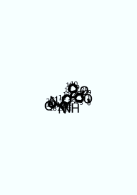 COc1ccc(C2(c3ccccc3)C=Cc3c(-c4cocn4)n[nH]c3C2)cc1OC